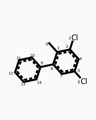 Cc1c(Cl)cc(Cl)cc1-c1ccccc1